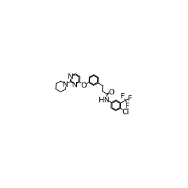 O=C(CCc1cccc(Oc2ccnc(N3CCCCC3)n2)c1)Nc1ccc(Cl)c(C(F)(F)F)c1